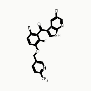 O=C(c1c(F)ccc(OCc2ccc(C(F)(F)F)nc2)c1F)c1c[nH]c2ncc(Cl)cc12